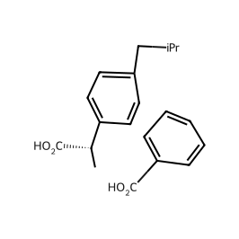 CC(C)Cc1ccc([C@H](C)C(=O)O)cc1.O=C(O)c1ccccc1